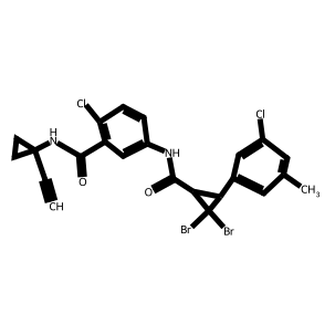 C#CC1(NC(=O)c2cc(NC(=O)C3C(c4cc(C)cc(Cl)c4)C3(Br)Br)ccc2Cl)CC1